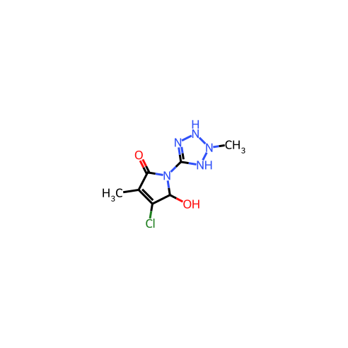 CC1=C(Cl)C(O)N(C2=NNN(C)N2)C1=O